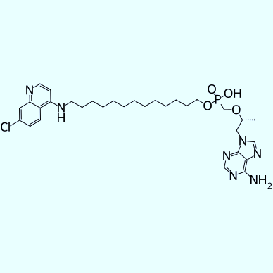 C[C@H](Cn1cnc2c(N)ncnc21)OCP(=O)(O)OCCCCCCCCCCCCCNc1ccnc2cc(Cl)ccc12